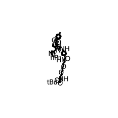 CCCn1cc(-c2nc(Nc3ccc(C(=O)NCCOCCOCCNC(=O)OC(C)(C)C)cc3)nc3c2ccn3S(=O)(=O)c2ccc(C)cc2)cn1